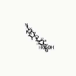 N#Cc1nc2ccc(OCc3ccc(CP(=O)(O)O)cc3)cc2s1